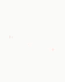 CC1c2cc(Br)ccc2Oc2c1ccc1cc(O)ccc21